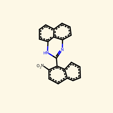 O=[N+]([O-])c1ccc2ccccc2c1C1=Nc2cccc3cccc(c23)N1